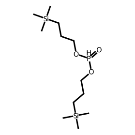 C[Si](C)(C)CCCO[PH](=O)OCCC[Si](C)(C)C